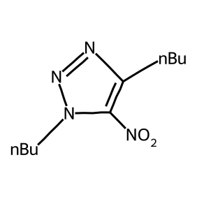 CCCCc1nnn(CCCC)c1[N+](=O)[O-]